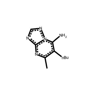 CCCCc1c(C)nc2ncnn2c1N